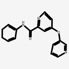 O=C(NC1=CCCC=C1)c1cc(Oc2cccnc2)ccn1